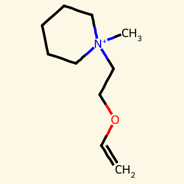 C=COCC[N+]1(C)CCCCC1